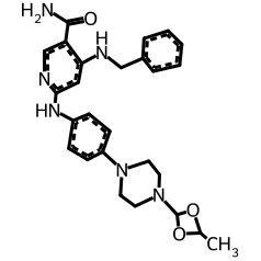 CC1OC(N2CCN(c3ccc(Nc4cc(NCc5ccccc5)c(C(N)=O)cn4)cc3)CC2)O1